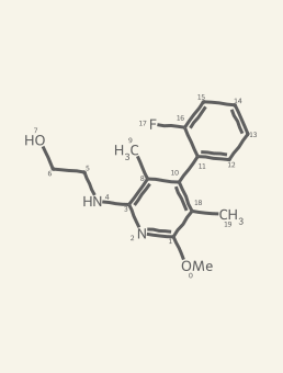 COc1nc(NCCO)c(C)c(-c2ccccc2F)c1C